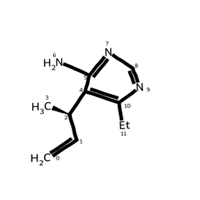 C=C[C@@H](C)c1c(N)ncnc1CC